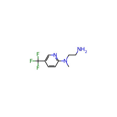 CN(CCN)c1ccc(C(F)(F)F)cn1